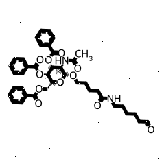 CC(=O)N[C@H]1[C@H](OCCCCC(=O)NCCCCCC=O)O[C@H](COC(=O)c2ccccc2)[C@H](OC(=O)c2ccccc2)[C@@H]1OC(=O)c1ccccc1